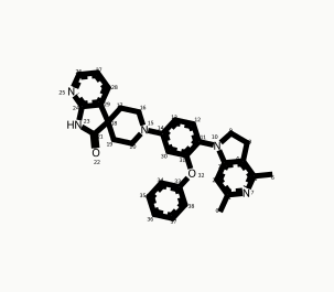 Cc1cc2c(c(C)n1)CCN2c1ccc(N2CCC3(CC2)C(=O)Nc2ncccc23)cc1Oc1ccccc1